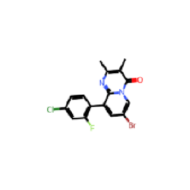 Cc1nc2c(-c3ccc(Cl)cc3F)cc(Br)cn2c(=O)c1C